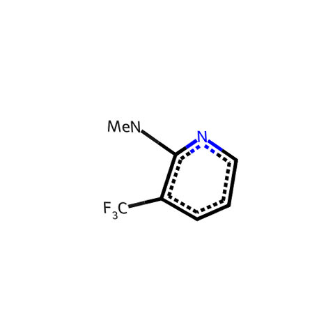 [CH2]Nc1ncccc1C(F)(F)F